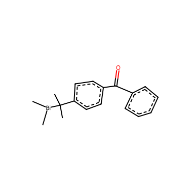 [CH3][Bi]([CH3])[C](C)(C)c1ccc(C(=O)c2ccccc2)cc1